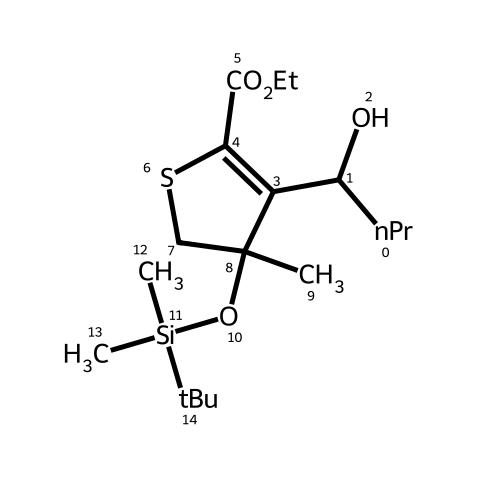 CCCC(O)C1=C(C(=O)OCC)SCC1(C)O[Si](C)(C)C(C)(C)C